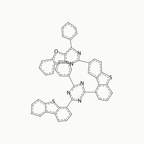 c1ccc(-c2nc(-c3cccc4c3sc3ccccc34)nc(-c3cccc4sc5ccc(-c6nc(-c7ccccc7)c7oc8ccccc8c7n6)cc5c34)n2)cc1